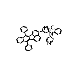 Cc1ccccc1N(c1cccc(-c2ccc3c4c(cccc24)-c2c-3c(-c3ccccc3)c3ccccc3c2-c2ccccc2)c1)C1C=CN=CC1